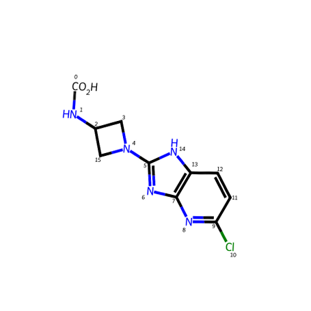 O=C(O)NC1CN(c2nc3nc(Cl)ccc3[nH]2)C1